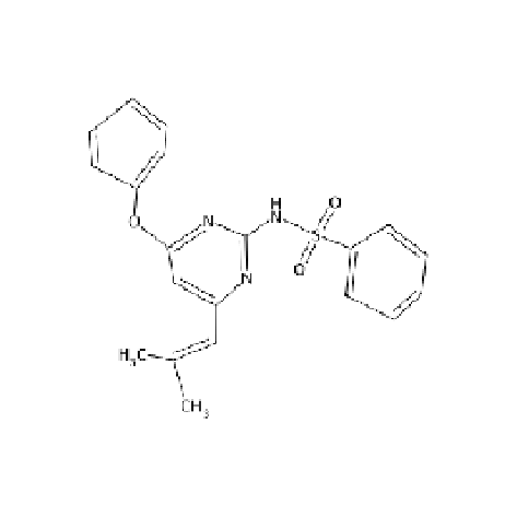 CC(C)=Cc1cc(Oc2ccccc2)nc(NS(=O)(=O)c2ccccc2)n1